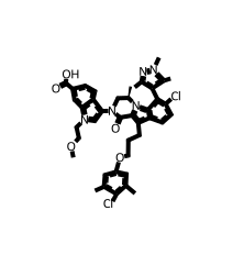 COCCn1cc(N2C[C@@H](C)n3c(c(CCCOc4cc(C)c(Cl)c(C)c4)c4ccc(Cl)c(-c5c(C)nn(C)c5C)c43)C2=O)c2ccc(C(=O)O)cc21